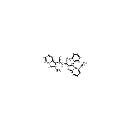 C#Cc1cccc2nc([C@@H](C)NC(=O)c3c(N)nn4cccnc34)c(-c3ccccc3)n12